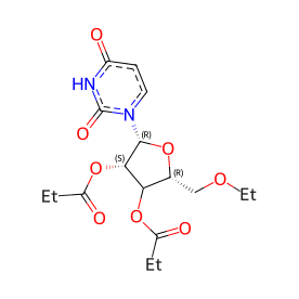 CCOC[C@H]1O[C@@H](n2ccc(=O)[nH]c2=O)[C@@H](OC(=O)CC)C1OC(=O)CC